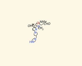 CNC(=O)C(CCC=O)N(C)C(C)c1nc(N2CCC(CN3CCNCC3)CC2)ccc1C=O